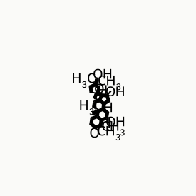 CC(C)(O)C1CC[C@@]2(C[C@]34CC[C@@]56C[C@@]57CCC(=O)C(C)(C)[C@@H]7[C@@H](O)C[C@H]6[C@]3(C)C[C@H](O)[C@H]24)O1